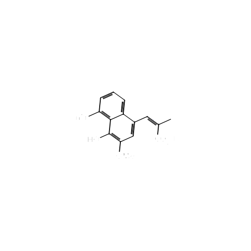 CCCc1cccc2c(/C=C(/C)C(=O)O)cc(OC)c(O)c12